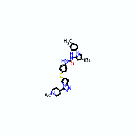 CC(=O)N1CCC(c2nnc3ccc(Sc4ccc(NC(=O)Nc5cc(C(C)(C)C)cn5-c5ccc(C)cc5)cc4)cn23)CC1